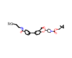 COCCNC(=O)c1ccc(-c2ccc3c(c2)COC(C2CCN(C(=O)OCC4(C)CC4)CC2)O3)cc1